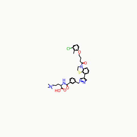 Cc1c(Cl)cccc1OCCCC(=O)N1CCSc2c(-c3cnn(Cc4cccc(C(=O)NC(CCC[N+](C)(C)C)C(=O)O)c4)c3)cccc21